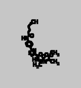 C#CCCCC(=O)Nc1ccc(-c2nc(C(=O)NC(=C)C(=O)NC(=C)C(=O)OC)cs2)cc1